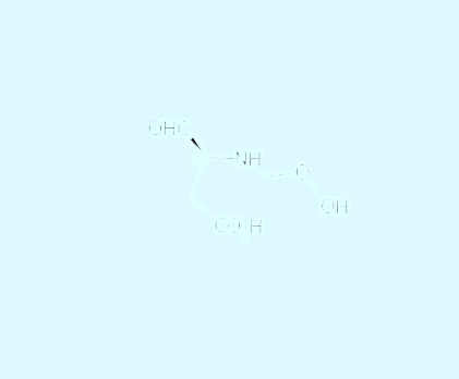 O=C[C@H](CC(=O)O)NCOO